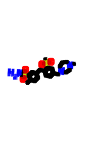 Cc1ccc(Cc2ccc(CN3CCCN(C)CC3)cc2S(C)(=O)=O)cc1S(N)(=O)=O